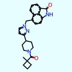 CC1(C(=O)N2CCC(c3ccn(Cc4ccc5c6c(cccc46)C(=O)N5)n3)CC2)CCC1